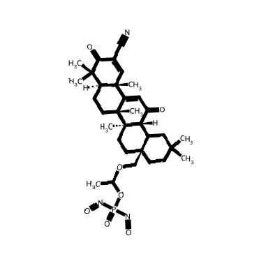 CC(OC[C@]12CCC(C)(C)CC1[C@H]1C(=O)C=C3[C@@]4(C)C=C(C#N)C(=O)C(C)(C)[C@@H]4CC[C@@]3(C)[C@]1(C)CC2)OP(=O)(N=O)N=O